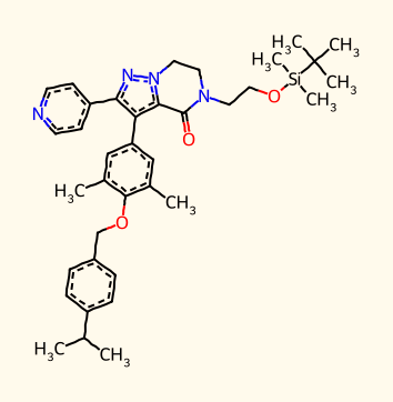 Cc1cc(-c2c(-c3ccncc3)nn3c2C(=O)N(CCO[Si](C)(C)C(C)(C)C)CC3)cc(C)c1OCc1ccc(C(C)C)cc1